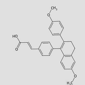 COc1ccc(C2=C(c3ccc(C=CC(=O)O)cc3)c3ccc(OC)cc3CC2)cc1